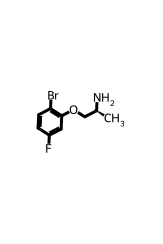 C[C@H](N)COc1cc(F)ccc1Br